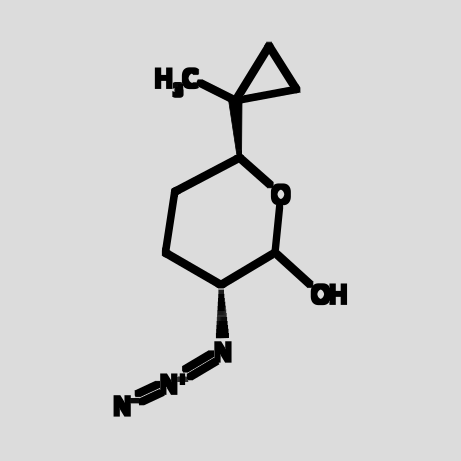 CC1([C@@H]2CC[C@@H](N=[N+]=[N-])C(O)O2)CC1